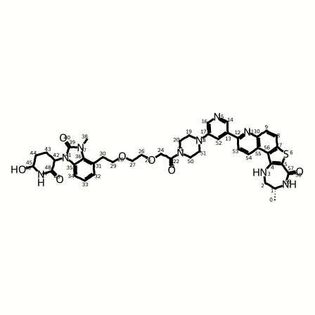 C[C@@H]1CNc2c(sc3ccc4nc(-c5cncc(N6CCN(C(=O)COCCOCCc7cccc8c7n(C)c(=O)n8C7CCC(O)NC7=O)CC6)c5)ccc4c23)C(=O)N1